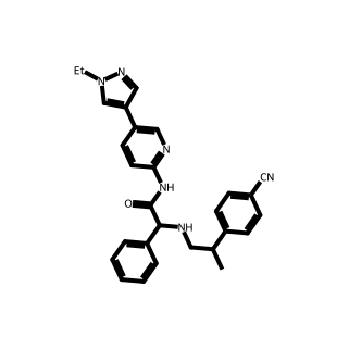 CCn1cc(-c2ccc(NC(=O)C(NCC(C)c3ccc(C#N)cc3)c3ccccc3)nc2)cn1